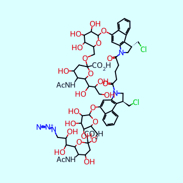 CC(=O)NC1C(O)CC(OCC2OC(Oc3cc4c(c5ccccc35)[C@H](CCl)CN4C(=O)CCCC(=O)N3C[C@@H](CCl)c4c3cc(OC3OC(COC5(C(=O)O)CC(O)C(NC(C)=O)C(C(O)C(O)CN=[N+]=[N-])O5)C(O)C(O)C3O)c3ccccc43)C(O)C(O)C2O)(C(=O)O)OC1C(O)C(O)CO